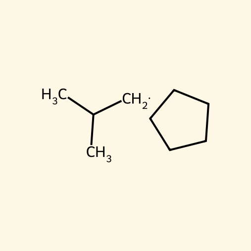 C1CCCC1.[CH2]C(C)C